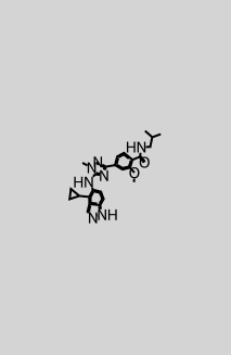 COc1cc(-c2nc(Nc3ccc4[nH]ncc4c3C3CC3)n(C)n2)ccc1C(=O)NCC(C)C